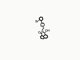 O=C1c2cccc3cccc(c23)C(O)N1CCN1CC=C(c2ccccc2Br)CC1